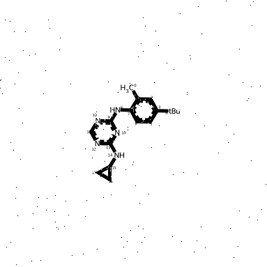 Cc1cc(C(C)(C)C)ccc1Nc1ncnc(NC2CC2)n1